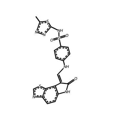 Cc1nnc(NS(=O)(=O)c2ccc(NC=C3C(=O)Nc4ccc5ncsc5c43)cc2)s1